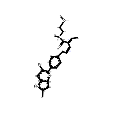 C/C=C(\C=C/Cc1ccc(-c2nc3cc(C)[nH]c3cc2F)cc1)C(=O)N(C)CCOC